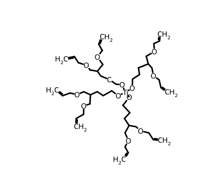 C=CCOCC(CCC[O][Ti]([O]CCCC(COCC=C)COCC=C)([O]CCCC(COCC=C)COCC=C)[O]CCCC(COCC=C)COCC=C)COCC=C